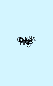 CSc1nc2nc(C3CCOCC3)[nH]c(=O)c2s1